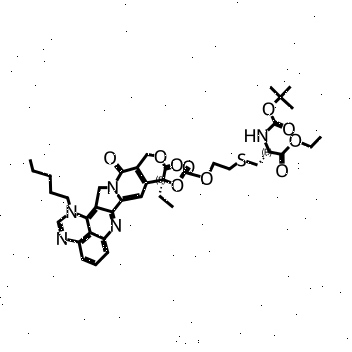 CCCCCN1C=Nc2cccc3nc4c(c1c23)Cn1c-4cc2c(c1=O)COC(=O)[C@@]2(CC)OC(=O)OCCSC[C@H](NC(=O)OC(C)(C)C)C(=O)OCC